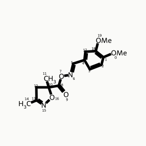 COc1ccc(/C=N/OC(=O)C2(C)CC(C)=NO2)cc1OC